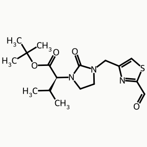 CC(C)[C@@H](C(=O)OC(C)(C)C)N1CCN(Cc2csc(C=O)n2)C1=O